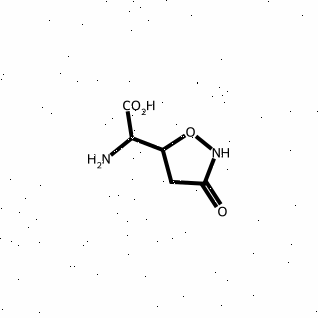 NC(C(=O)O)C1CC(=O)NO1